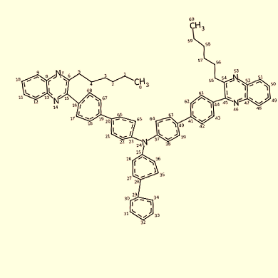 CCCCCCc1nc2ccccc2nc1-c1ccc(-c2ccc(N(c3ccc(-c4ccccc4)cc3)c3ccc(-c4ccc(-c5nc6ccccc6nc5CCCCCC)cc4)cc3)cc2)cc1